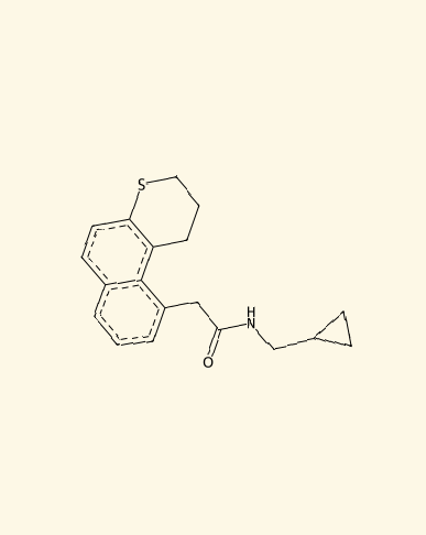 O=C(Cc1cccc2ccc3c(c12)CCCS3)NCC1CC1